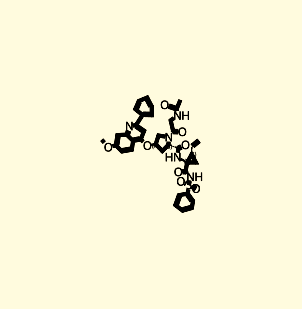 C=C[C@@H]1C[C@]1(NC(=O)[C@@H]1C[C@@H](Oc2cc(-c3ccccc3)nc3cc(OC)ccc23)CN1C(=O)CNC(C)=O)C(=O)NS(=O)(=O)c1ccccc1